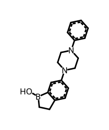 OB1CCc2ccc(N3CCN(c4ccccc4)CC3)cc21